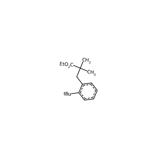 CCOC(=O)C(C)(C)Cc1ccccc1C(C)(C)C